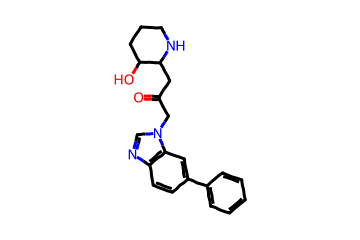 O=C(CC1NCCCC1O)Cn1cnc2ccc(-c3ccccc3)cc21